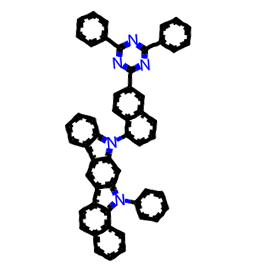 c1ccc(-c2nc(-c3ccccc3)nc(-c3ccc4c(-n5c6ccccc6c6cc7c8ccc9ccccc9c8n(-c8ccccc8)c7cc65)cccc4c3)n2)cc1